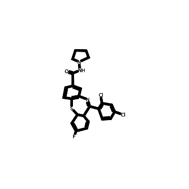 O=C(NN1CCCC1)c1ccc2c(c1)N=C(c1ccc(Cl)cc1Cl)C1C=CC(F)=CC1S2